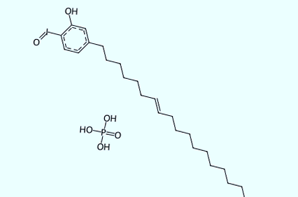 CCCCCCCCCCC=CCCCCCCc1ccc(I=O)c(O)c1.O=P(O)(O)O